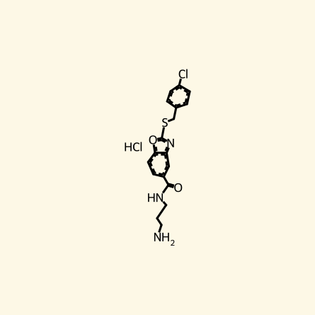 Cl.NCCCNC(=O)c1ccc2oc(SCc3ccc(Cl)cc3)nc2c1